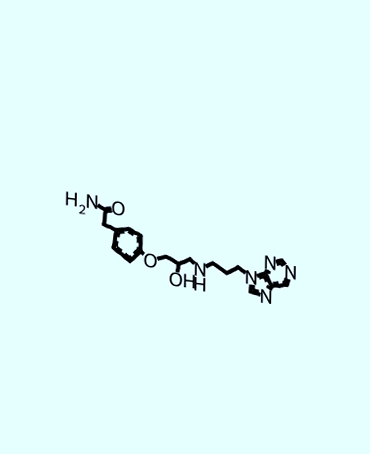 NC(=O)Cc1ccc(OCC(O)CNCCCn2cnc3cncnc32)cc1